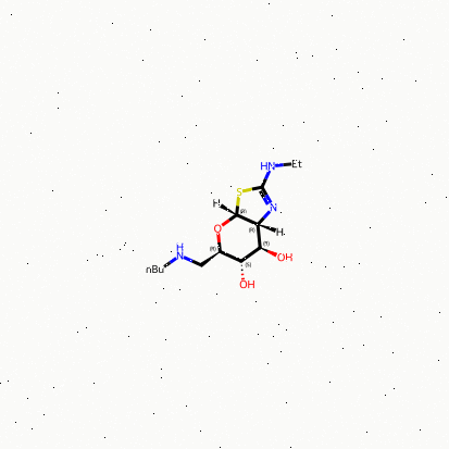 CCCCNC[C@H]1O[C@@H]2SC(NCC)=N[C@@H]2[C@@H](O)[C@@H]1O